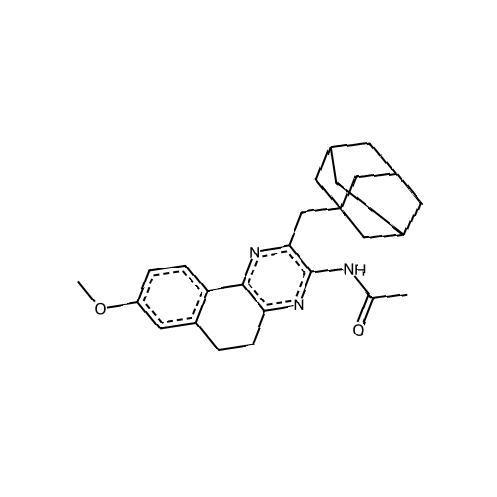 COc1ccc2c(c1)CCc1nc(NC(C)=O)c(CC34CC5CC(CC(C5)C3)C4)nc1-2